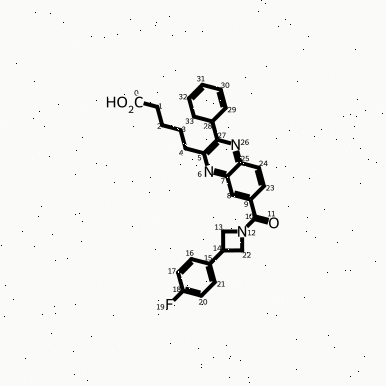 O=C(O)CCCCc1nc2cc(C(=O)N3CC(c4ccc(F)cc4)C3)ccc2nc1C1C=CC=CC1